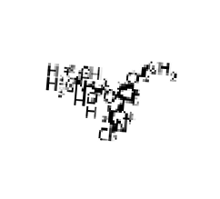 C=CCOc1ccc(-c2ccc(Cl)nn2)c(OCC(O)CNC(C)(C)C)c1